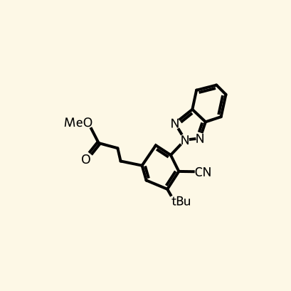 COC(=O)CCc1cc(-n2nc3ccccc3n2)c(C#N)c(C(C)(C)C)c1